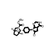 CC(C)(C)OC(=O)N1C[C@H]2CC[C@H](O2)[C@H]1c1ccc(-n2c(Cl)cc3c(=O)[nH]cnc32)cc1